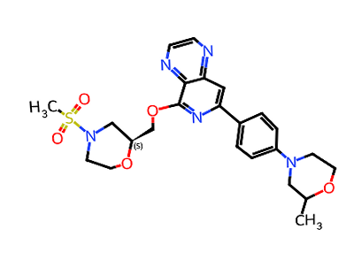 CC1CN(c2ccc(-c3cc4nccnc4c(OC[C@@H]4CN(S(C)(=O)=O)CCO4)n3)cc2)CCO1